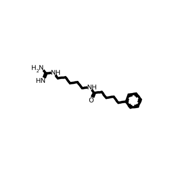 N=C(N)NCCCCCNC(=O)CCCCc1ccccc1